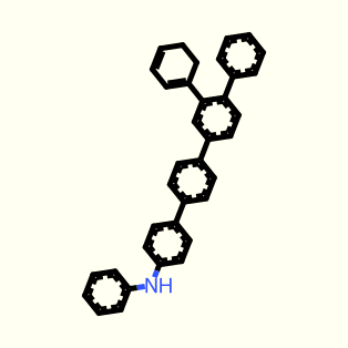 C1=CCCC(c2cc(-c3ccc(-c4ccc(Nc5ccccc5)cc4)cc3)ccc2-c2ccccc2)=C1